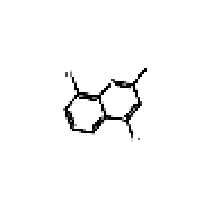 CCc1cc(C)nc2c(Cl)cccc12